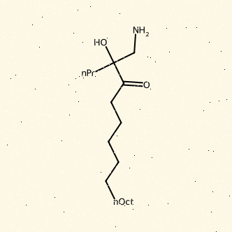 CCCCCCCCCCCCCC(=O)C(O)(CN)CCC